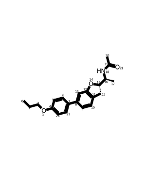 CCCOc1ccc(-c2ccc3c(c2)O[C@H]([C@H](C)NC(C)=O)C3)cc1